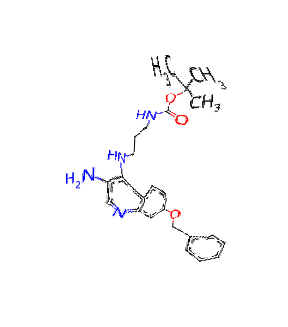 CC(C)(C)OC(=O)NCCCNc1c(N)cnc2cc(OCc3ccccc3)ccc12